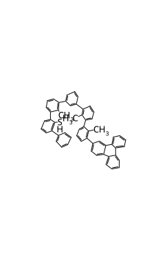 Cc1c(-c2cccc(-c3cccc(-c4cccc(-c5ccccc5)c4S)c3C)c2)cccc1-c1cccc(-c2ccc3c4ccccc4c4ccccc4c3c2)c1C